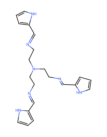 C(=NCCN(CCN=Cc1ccc[nH]1)CCN=Cc1ccc[nH]1)c1ccc[nH]1